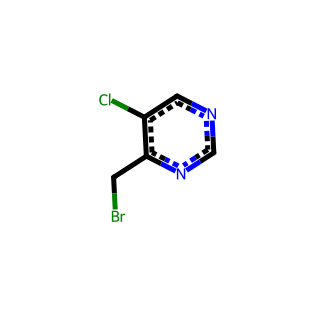 Clc1cncnc1CBr